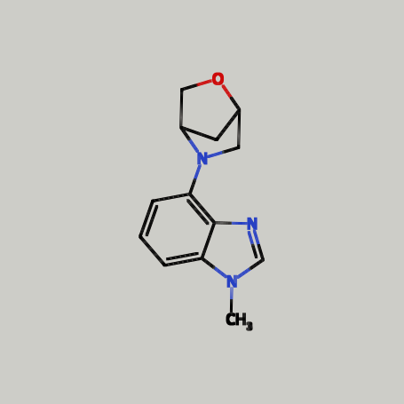 Cn1cnc2c(N3CC4CC3CO4)cccc21